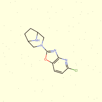 Clc1ccc2oc(N3CC4CCC(C3)N4)nc2n1